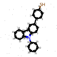 Sc1ccc(-c2ccc3c(c2)c2ccccc2n3-c2ccccc2)cc1